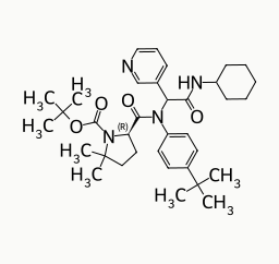 CC(C)(C)OC(=O)N1[C@@H](C(=O)N(c2ccc(C(C)(C)C)cc2)C(C(=O)NC2CCCCC2)c2cccnc2)CCC1(C)C